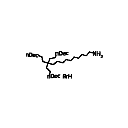 Br.CCCCCCCCCCCCC(CCCCCCCCCCN)(CCCCCCCCCCCC)CCCCCCCCCCCC